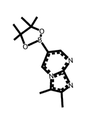 Cc1nc2ncc(B3OC(C)(C)C(C)(C)O3)cn2c1C